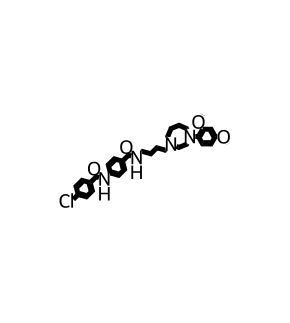 COc1ccc(N2CCCCN(CCCCNC(=O)c3ccc(NC(=O)c4ccc(Cl)cc4)cc3)CC2)c(OC)c1